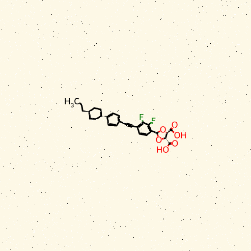 CCC[C@H]1CC[C@H](c2ccc(C#Cc3ccc(C4O[C@@H](C(=O)O)[C@H](C(=O)O)O4)c(F)c3F)cc2)CC1